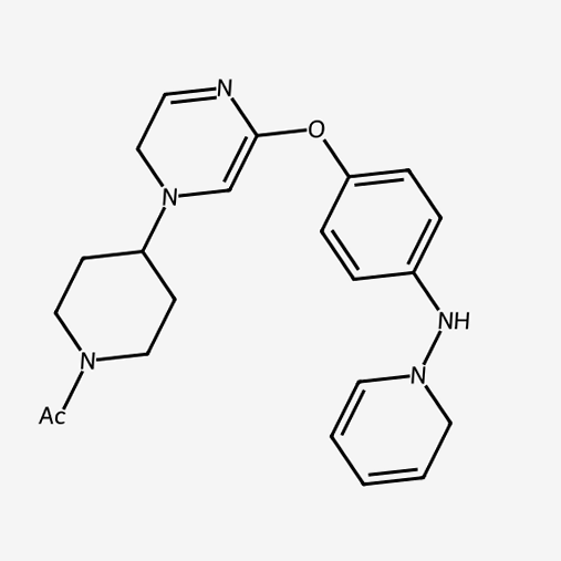 CC(=O)N1CCC(N2C=C(Oc3ccc(NN4C=CC=CC4)cc3)N=CC2)CC1